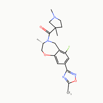 C[C@H]1COc2cc(-c3noc(C(F)(F)F)n3)cc(F)c2CN1C(=O)C1(C)CCN(C)C1